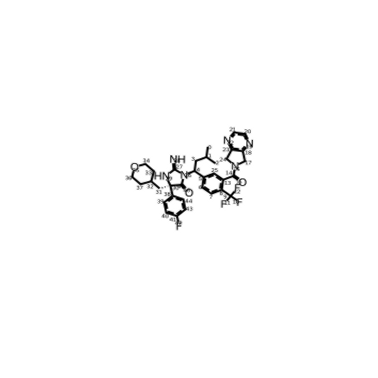 CC(C)CC(c1ccc(C(F)(F)F)c(C(=O)N2Cc3nccnc3C2)c1)N1C(=N)N[C@](CC2CCOCC2)(c2ccc(F)cc2)C1=O